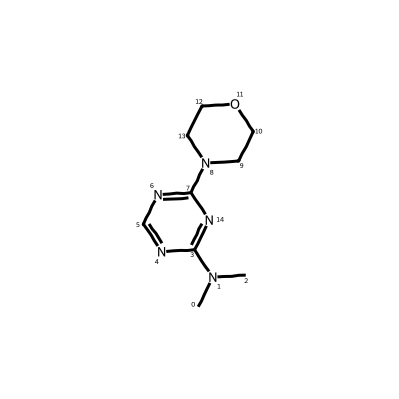 CN(C)c1ncnc(N2CCOCC2)n1